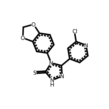 S=c1[nH]nc(-c2ccnc(Cl)c2)n1-c1ccc2c(c1)OCO2